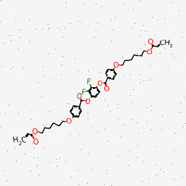 C=CC(=O)OCCCCCCOc1ccc(C(=O)Oc2ccc(OC(=O)c3ccc(OCCCCCCOC(=O)C=C)cc3)c(F)c2F)cc1